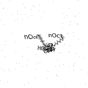 CCCCCCCC/C=C\CCCCCCCC(=O)C(O)(C(=O)CCCCCCC/C=C\CCCCCCCC)C(O)CO